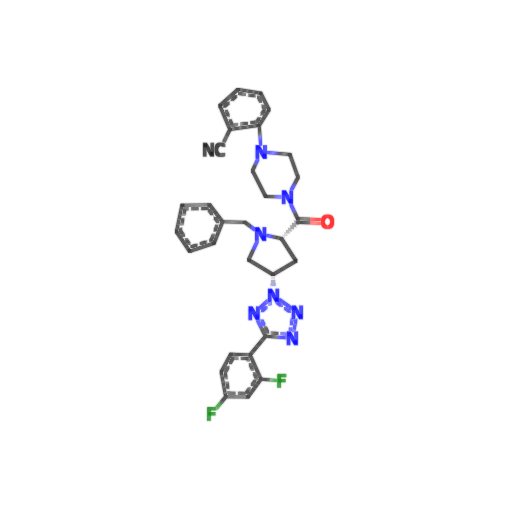 N#Cc1ccccc1N1CCN(C(=O)[C@@H]2C[C@H](n3nnc(-c4ccc(F)cc4F)n3)CN2Cc2ccccc2)CC1